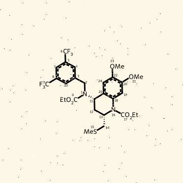 CCOC(=O)N(Cc1cc(C(F)(F)F)cc(C(F)(F)F)c1)[C@H]1C[C@@H](CSC)N(C(=O)OCC)c2cc(OC)c(OC)cc21